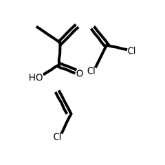 C=C(C)C(=O)O.C=C(Cl)Cl.C=CCl